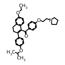 CCOc1ccc2c(c1)CCC(c1ccc(OC(C)C)cc1)=C2C(=O)c1ccc(OCCN2CCCC2)cc1